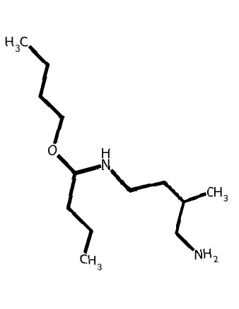 CCCCOC(CCC)NCCC(C)CN